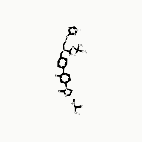 CC(=O)NC[C@H]1CN(c2ccc(-c3ccc(CN(CCSc4nc[nH]n4)C(=O)OC(C)(C)C)cc3)c(F)c2)C(=O)O1